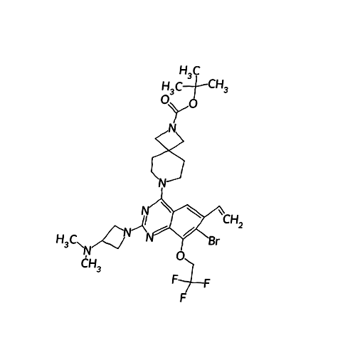 C=Cc1cc2c(N3CCC4(CC3)CN(C(=O)OC(C)(C)C)C4)nc(N3CC(N(C)C)C3)nc2c(OCC(F)(F)F)c1Br